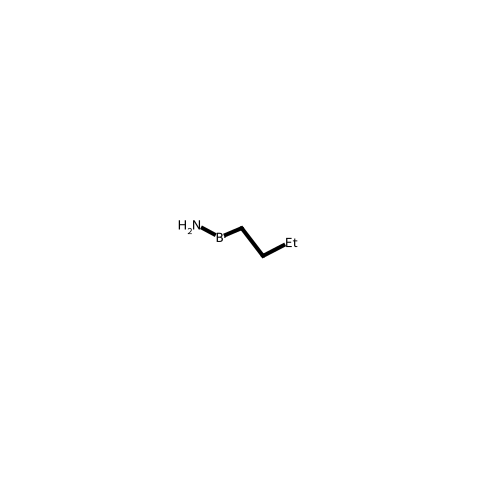 CCCC[B]N